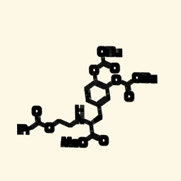 COC(=O)[C@H](Cc1ccc(OC(=O)OCC(C)C)c(OC(=O)OCC(C)C)c1)NCCOC(=O)C(C)C